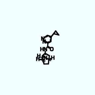 CN1[C@@H]2CC[C@H]1CC(NC(=O)c1cc(C3CC3)cnn1)C2